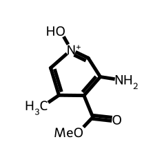 COC(=O)c1c(C)c[n+](O)cc1N